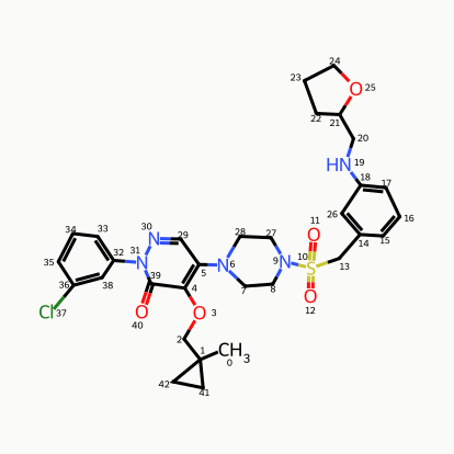 CC1(COc2c(N3CCN(S(=O)(=O)Cc4cccc(NCC5CCCO5)c4)CC3)cnn(-c3cccc(Cl)c3)c2=O)CC1